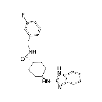 O=C(NCc1cccc(F)c1)[C@H]1CC[C@H](Nc2nc3ccccc3[nH]2)CC1